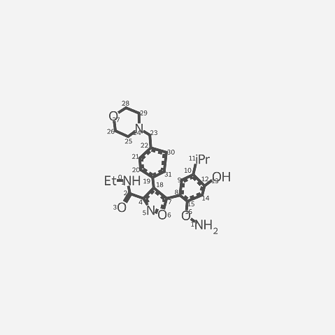 CCNC(=O)c1noc(-c2cc(C(C)C)c(O)cc2ON)c1-c1ccc(CN2CCOCC2)cc1